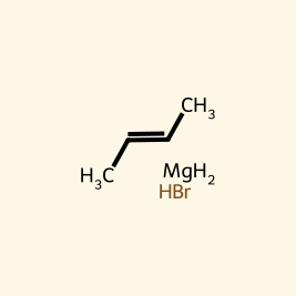 Br.C/C=C/C.[MgH2]